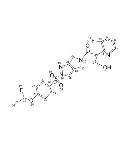 O=C(C(CO)c1ncccc1F)N1Cc2cn(S(=O)(=O)c3ccc(OC(F)F)cc3)nc2C1